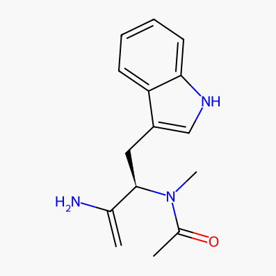 C=C(N)[C@@H](Cc1c[nH]c2ccccc12)N(C)C(C)=O